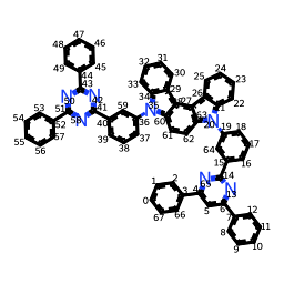 c1ccc(-c2cc(-c3ccccc3)nc(-c3cccc(-n4c5ccccc5c5c6c7ccccc7n(-c7cccc(-c8nc(-c9ccccc9)nc(-c9ccccc9)n8)c7)c6ccc54)c3)n2)cc1